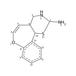 NC1NCC2C=COc3ccccc3C2S1